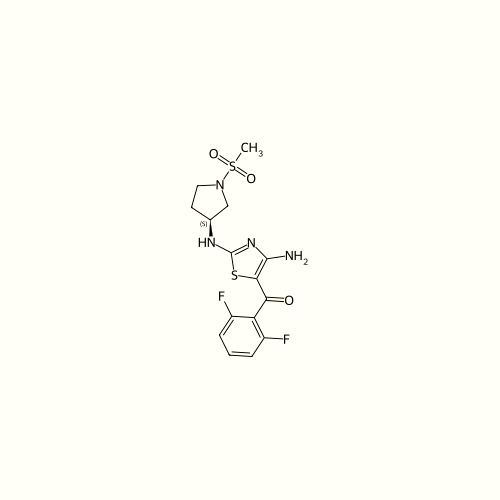 CS(=O)(=O)N1CC[C@H](Nc2nc(N)c(C(=O)c3c(F)cccc3F)s2)C1